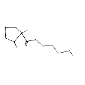 COC1(C(=O)CCCCCC(C)C)CCCC1C